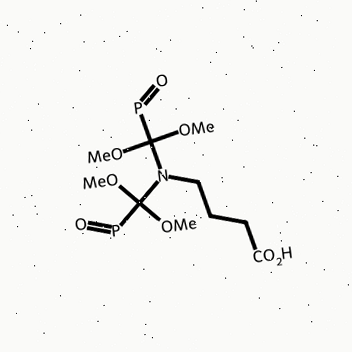 COC(OC)(P=O)N(CCCC(=O)O)C(OC)(OC)P=O